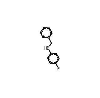 Fc1ccc(BCc2ccccc2)cc1